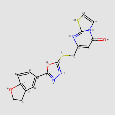 O=c1cc(CSc2nnc(-c3ccc4c(c3)CCO4)o2)nc2sccn12